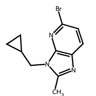 Cc1nc2ccc(Br)nc2n1CC1CC1